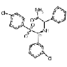 NC(=O)C(N[C@@H](c1cccc(Cl)c1)S(=O)(=O)c1ccc(Cl)cc1)c1ccccc1